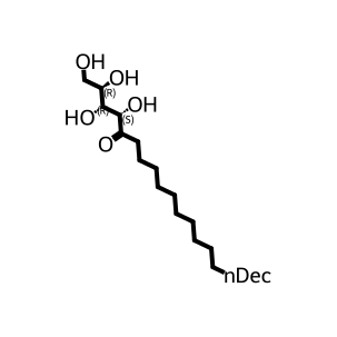 CCCCCCCCCCCCCCCCCCCCC(=O)[C@@H](O)[C@H](O)[C@H](O)CO